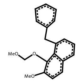 COCOc1c(OC)ccc2cccc(Cc3ccccc3)c12